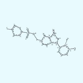 Cc1ccc(S(=O)(=O)OCc2cnc3c(-c4cccc(Cl)c4F)n[nH]c3n2)cc1